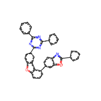 c1ccc(-c2nc(-c3ccccc3)nc(-c3ccc4oc5cccc(-c6ccc7nc(-c8ccccc8)oc7c6)c5c4c3)n2)cc1